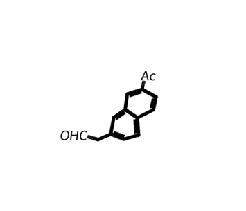 CC(=O)c1ccc2ccc(CC=O)cc2c1